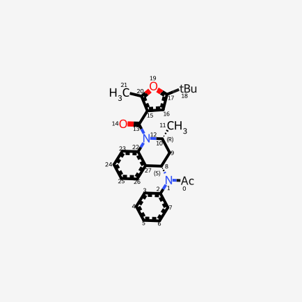 CC(=O)N(c1ccccc1)[C@H]1C[C@@H](C)N(C(=O)c2cc(C(C)(C)C)oc2C)c2ccccc21